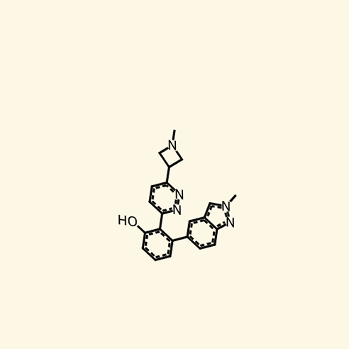 CN1CC(c2ccc(-c3c(O)cccc3-c3ccc4nn(C)cc4c3)nn2)C1